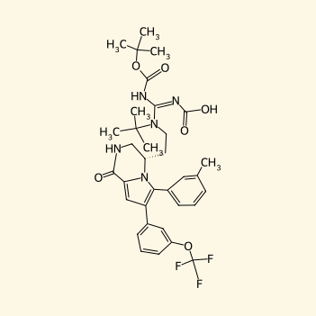 Cc1cccc(-c2c(-c3cccc(OC(F)(F)F)c3)cc3n2[C@@H](CCN(C(=NC(=O)O)NC(=O)OC(C)(C)C)C(C)(C)C)CNC3=O)c1